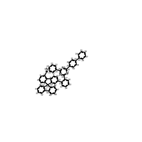 N#Cc1cccc2c1-c1ccc(-c3ccccc3-c3nc(-c4ccccc4)nc(-c4ccc(-c5ccccc5)cc4)n3)cc1C21c2ccccc2-c2ccccc21